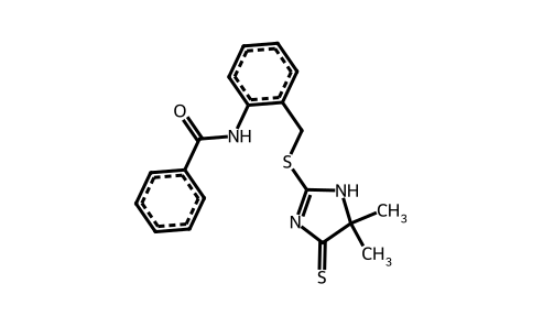 CC1(C)NC(SCc2ccccc2NC(=O)c2ccccc2)=NC1=S